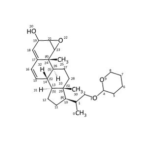 CC(COC1CCCCO1)[C@H]1CC[C@H]2[C@@H]3C=CC4=CC(O)C5OC5[C@]4(C)[C@H]3CC[C@]12C